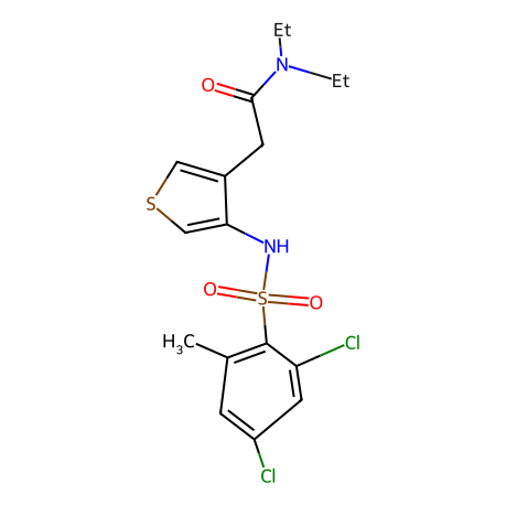 CCN(CC)C(=O)Cc1cscc1NS(=O)(=O)c1c(C)cc(Cl)cc1Cl